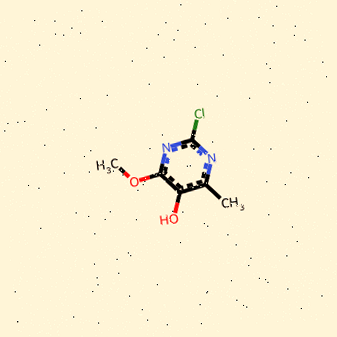 COc1nc(Cl)nc(C)c1O